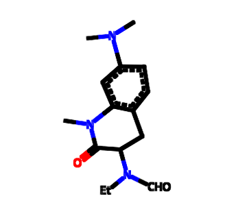 CCN(C=O)C1Cc2ccc(N(C)C)cc2N(C)C1=O